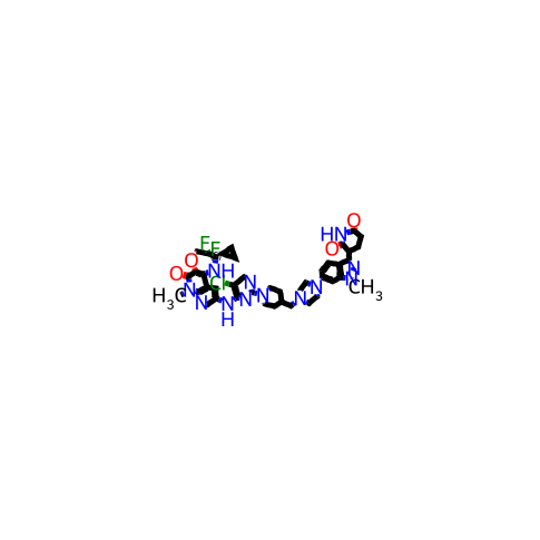 Cn1nc(C2CCC(=O)NC2=O)c2ccc(N3CCN(CC4CCN(c5ncc(Cl)c(Nc6cnc7c(c6)c6c(c(=O)n7C)OCC(F)(F)[C@H](C7CC7)N6)n5)CC4)CC3)cc21